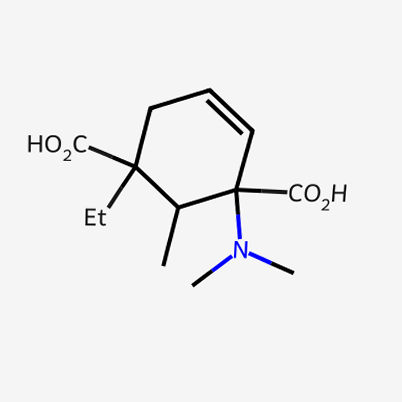 CCC1(C(=O)O)CC=CC(C(=O)O)(N(C)C)C1C